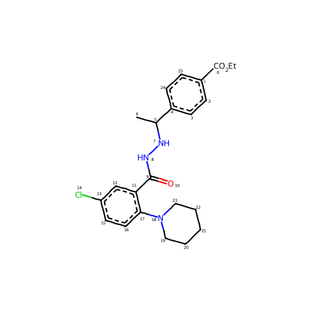 CCOC(=O)c1ccc(C(C)NNC(=O)c2cc(Cl)ccc2N2CCCCC2)cc1